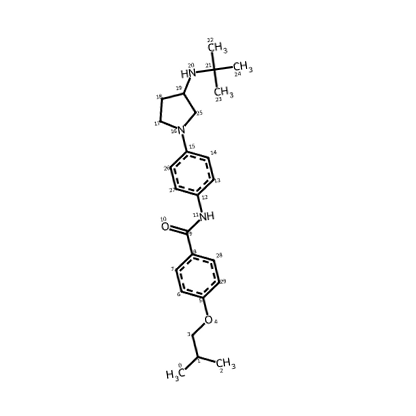 CC(C)COc1ccc(C(=O)Nc2ccc(N3CCC(NC(C)(C)C)C3)cc2)cc1